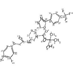 CC(C)(C)OC(=O)N1C[C@@H](NC(=O)COc2ccc(Cl)c(F)c2)CC[C@@H]1c1nnc(-c2ccc(C(F)(F)F)cc2)o1